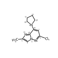 Cc1cn2nc(Cl)cc(N3CCCC3)c2n1